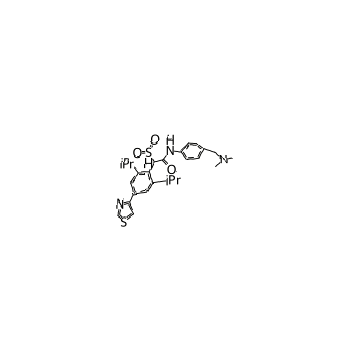 CC(C)c1cc(-c2cscn2)cc(C(C)C)c1C(C(=O)Nc1ccc(CN(C)C)cc1)[SH](=O)=O